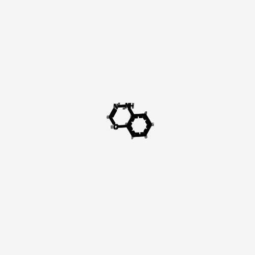 C1=NNc2ccccc2O1